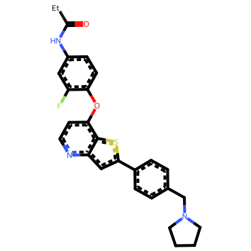 CCC(=O)Nc1ccc(Oc2ccnc3cc(-c4ccc(CN5CCCC5)cc4)sc23)c(F)c1